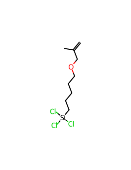 C=C(C)COCCCCC[Si](Cl)(Cl)Cl